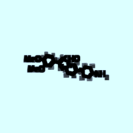 COc1ccc(C(=C/C=O)/N=c2/ccc(N3CCC(N)CC3)cn2C)cc1OC